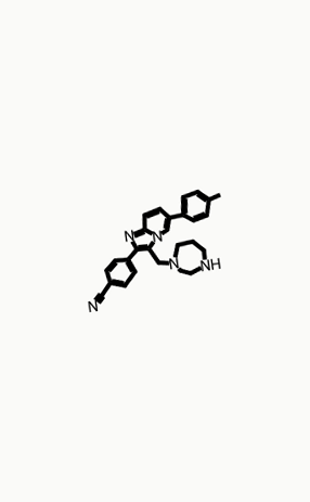 Cc1ccc(-c2ccc3nc(-c4ccc(C#N)cc4)c(CN4CCCNCC4)n3c2)cc1